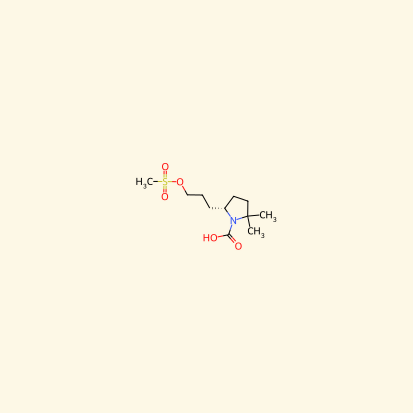 CC1(C)CC[C@@H](CCCOS(C)(=O)=O)N1C(=O)O